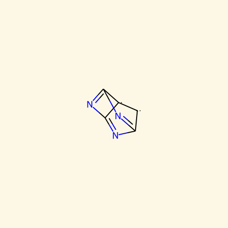 [CH]1[C]2C3=NC1=NC2=N3